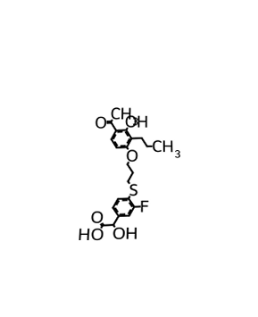 CCCc1c(OCCCSc2ccc(C(O)C(=O)O)cc2F)ccc(C(C)=O)c1O